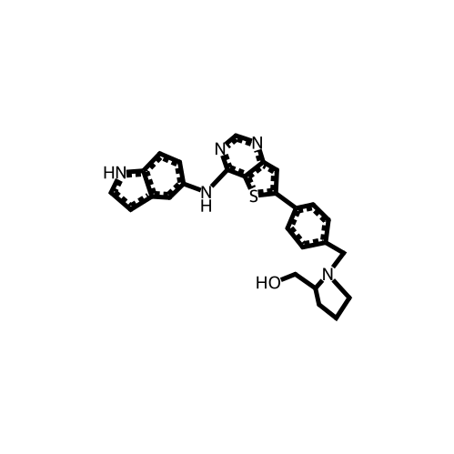 OCC1CCCN1Cc1ccc(-c2cc3ncnc(Nc4ccc5[nH]ccc5c4)c3s2)cc1